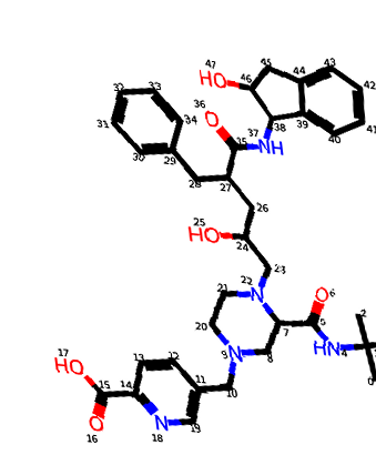 CC(C)(C)NC(=O)C1CN(Cc2ccc(C(=O)O)nc2)CCN1CC(O)CC(Cc1ccccc1)C(=O)NC1c2ccccc2CC1O